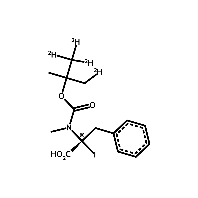 [2H]CC(C)(OC(=O)N(C)[C@@](I)(Cc1ccccc1)C(=O)O)C([2H])([2H])[2H]